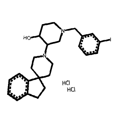 Cl.Cl.OC1CCN(Cc2cccc(I)c2)CC1N1CCC2(CCc3ccccc32)CC1